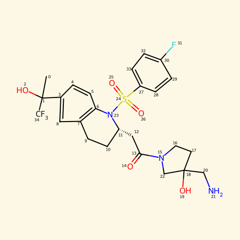 CC(O)(c1ccc2c(c1)CC[C@@H](CC(=O)N1CCC(O)(CN)C1)N2S(=O)(=O)c1ccc(F)cc1)C(F)(F)F